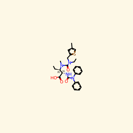 CC[C@H]([C@H](NC(=O)N(c1ccccc1)c1ccccc1)C(=O)O)N(C)C(=O)N(CC)Cc1cc(C)cs1